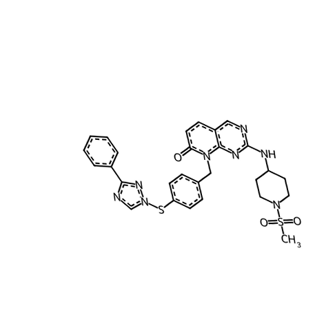 CS(=O)(=O)N1CCC(Nc2ncc3ccc(=O)n(Cc4ccc(Sn5cnc(-c6ccccc6)n5)cc4)c3n2)CC1